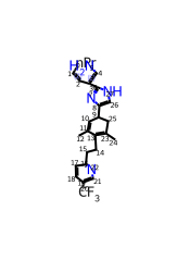 CCC/C=C\C(=C/N)c1nc(C2C=C(C)C(CCc3ccc(C(F)(F)F)cn3)=C(C)C2)c[nH]1